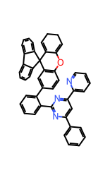 C1=C2Oc3ccc(-c4ccccc4-c4nc(-c5ccccc5)cc(-c5ccccn5)n4)cc3C3(C2=CCC1)c1ccccc1-c1ccccc13